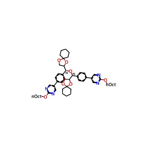 CCCCCCCCOc1ncc(-c2ccc([C@H](O[C@@H](c3ccc(-c4cnc(OCCCCCCCC)nc4)cc3)C3COC4(CCCCC4)O3)C3COC4(CCCCC4)O3)cc2)cn1